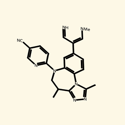 CN/C=C(\C=N)c1ccc2c(c1)N(c1ccc(C#N)cn1)CC(C)c1nnc(C)n1-2